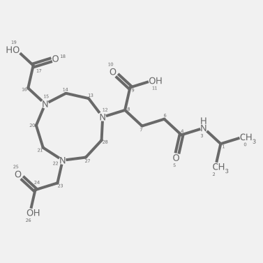 CC(C)NC(=O)CCC(C(=O)O)N1CCN(CC(=O)O)CCN(CC(=O)O)CC1